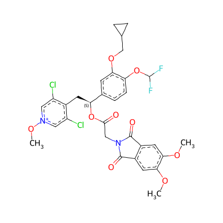 COc1cc2c(cc1OC)C(=O)N(CC(=O)O[C@@H](Cc1c(Cl)c[n+](OC)cc1Cl)c1ccc(OC(F)F)c(OCC3CC3)c1)C2=O